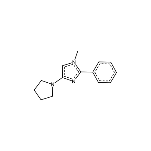 Cn1cc(N2CCCC2)nc1-c1ccccc1